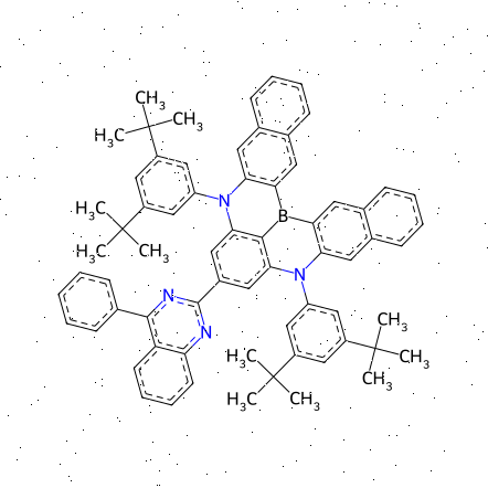 CC(C)(C)c1cc(N2c3cc4ccccc4cc3B3c4cc5ccccc5cc4N(c4cc(C(C)(C)C)cc(C(C)(C)C)c4)c4cc(-c5nc(-c6ccccc6)c6ccccc6n5)cc2c43)cc(C(C)(C)C)c1